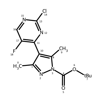 Cc1nn(C(=O)OC(C)(C)C)c(C)c1-c1nc(Cl)ncc1F